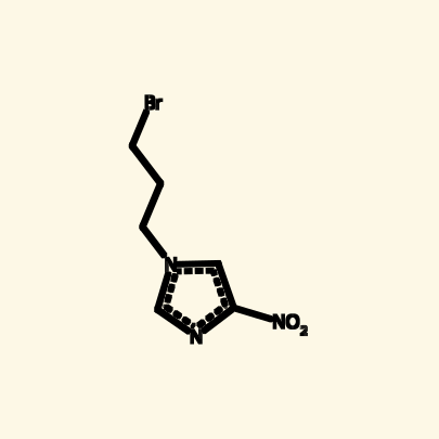 O=[N+]([O-])c1cn(CCCBr)cn1